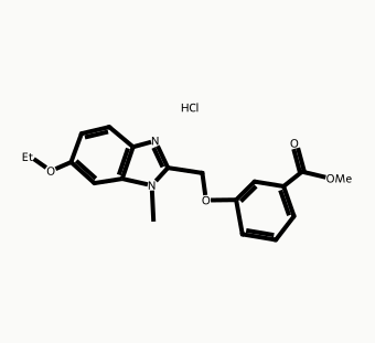 CCOc1ccc2nc(COc3cccc(C(=O)OC)c3)n(C)c2c1.Cl